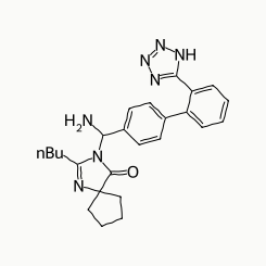 CCCCC1=NC2(CCCC2)C(=O)N1C(N)c1ccc(-c2ccccc2-c2nnn[nH]2)cc1